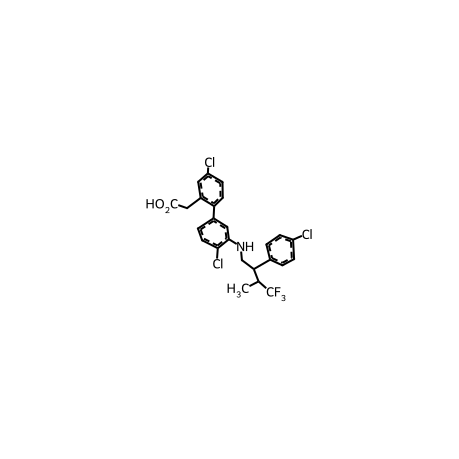 CC(C(CNc1cc(-c2ccc(Cl)cc2CC(=O)O)ccc1Cl)c1ccc(Cl)cc1)C(F)(F)F